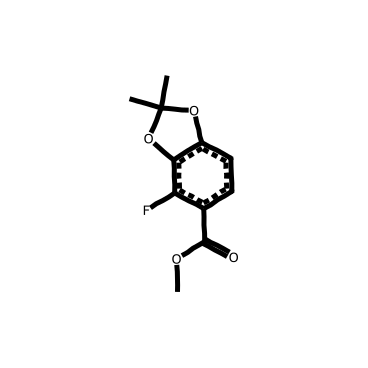 COC(=O)c1ccc2c(c1F)OC(C)(C)O2